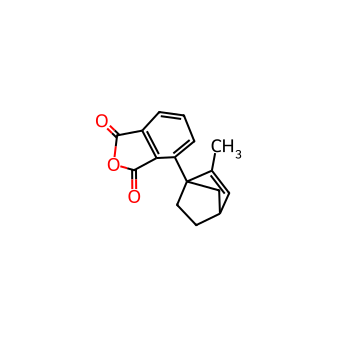 CC1=CC2CCC1(c1cccc3c1C(=O)OC3=O)C2